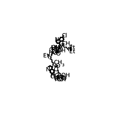 CCN(CC)CCCC(C)N(C(=O)NC(P(=O)(O)O)P(=O)(O)OCCN(CC)CCCC(C)N(C(=O)OCCCC(P(=O)(O)O)P(=O)(O)O)c1ccnc2cc(Cl)ccc12)c1ccnc2cc(Cl)ccc12